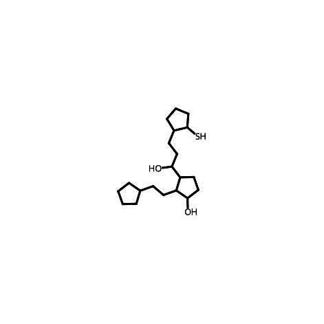 OC1CCC(C(O)CCC2CCCC2S)C1CCC1CCCC1